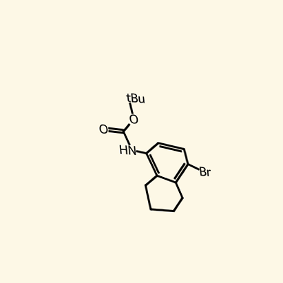 CC(C)(C)OC(=O)Nc1ccc(Br)c2c1CCCC2